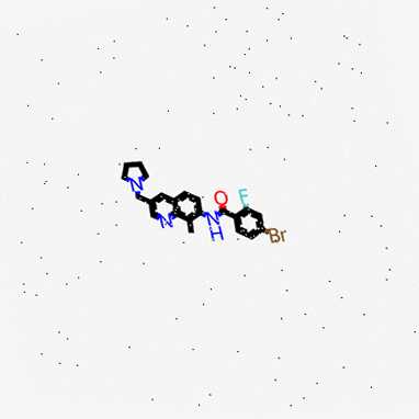 Cc1c(NC(=O)c2ccc(Br)cc2F)ccc2cc(CN3CCCC3)cnc12